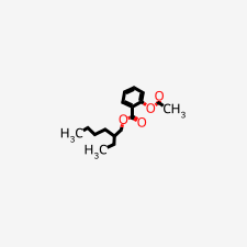 CCCCC(CC)COC(=O)c1ccccc1OC(C)=O